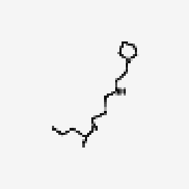 CCCC(C)OCCCNCCN1CCCC1